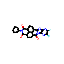 O=C1c2ccc3c(=O)n4c5nc(F)c(F)nc5nc4c4ccc(c2c34)C(=O)N1c1ccccc1